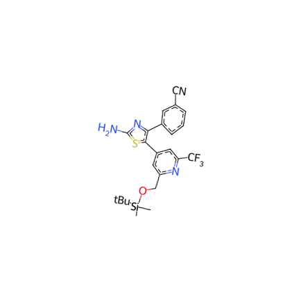 CC(C)(C)[Si](C)(C)OCc1cc(-c2sc(N)nc2-c2cccc(C#N)c2)cc(C(F)(F)F)n1